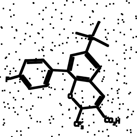 C[Si](C)(C)c1cc2c(c(-c3ccc(F)cc3)c1)OC(C(F)(F)F)C(C(=O)O)=C2